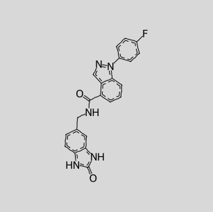 O=C(NCc1ccc2[nH]c(=O)[nH]c2c1)c1cccc2c1cnn2-c1ccc(F)cc1